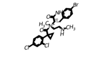 CNCC[N+](C)(C(=O)C1(c2ccc(Cl)cc2Cl)CC1)[C@@H](Cc1ccc(Br)cc1)C(N)=O